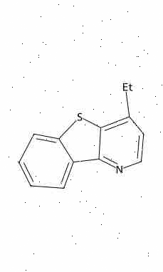 CCc1ccnc2c1sc1ccccc12